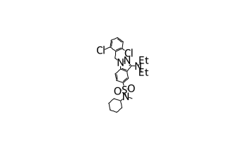 CCN(CC)c1nn(Cc2c(Cl)cccc2Cl)c2ccc(S(=O)(=O)N(C)C3CCCCC3)cc12